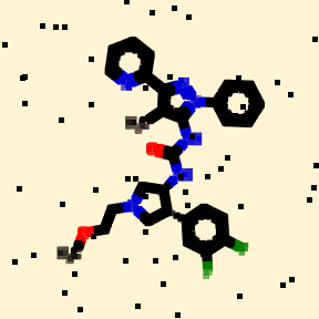 COCCN1C[C@@H](NC(=O)Nc2c(C)c(-c3ccccn3)nn2-c2ccccc2)[C@H](c2ccc(F)c(F)c2)C1